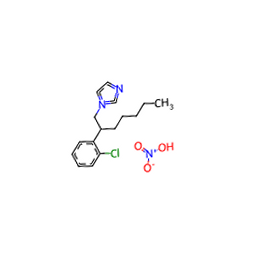 CCCCCC(Cn1ccnc1)c1ccccc1Cl.O=[N+]([O-])O